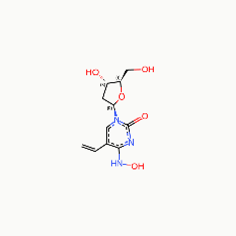 C=Cc1cn([C@H]2C[C@H](O)[C@@H](CO)O2)c(=O)nc1NO